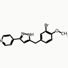 COc1ccc(Cc2cc(-c3ccncc3)n[nH]2)cc1Br